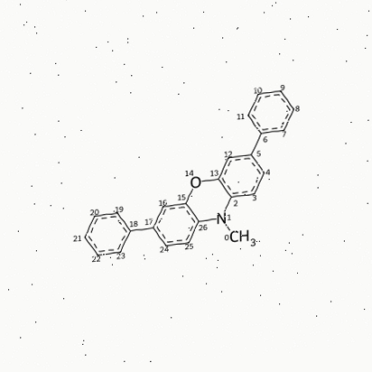 CN1c2ccc(-c3ccccc3)cc2Oc2cc(-c3ccccc3)ccc21